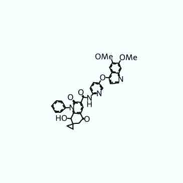 COc1cc2nccc(Oc3ccc(NC(=O)c4cc5c(n(-c6ccccc6)c4=O)C(O)C4(CC4)CC5=O)nc3)c2cc1OC